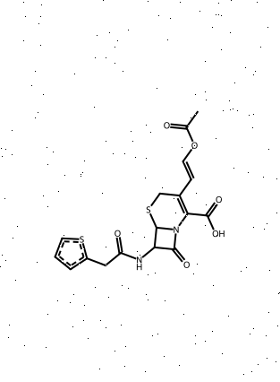 CC(=O)O/C=C/C1=C(C(=O)O)N2C(=O)C(NC(=O)Cc3cccs3)C2SC1